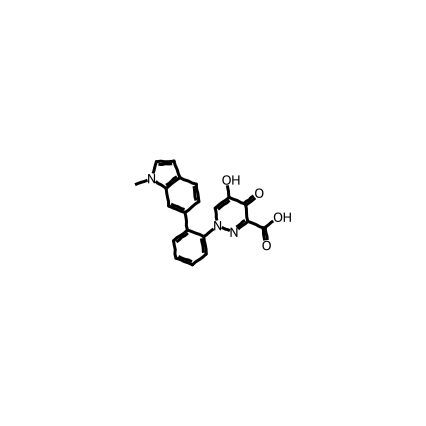 Cn1ccc2ccc(-c3ccccc3-n3cc(O)c(=O)c(C(=O)O)n3)cc21